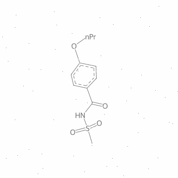 CCCOc1ccc(C(=O)NS(C)(=O)=O)cc1